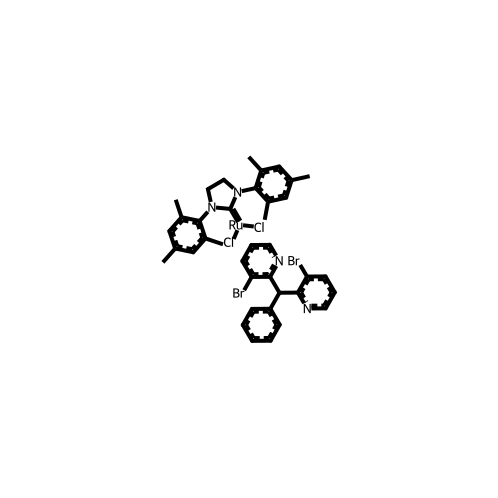 Brc1cccnc1C(c1ccccc1)c1ncccc1Br.Cc1cc(C)c(N2CCN(c3c(C)cc(C)cc3C)[C]2=[Ru]([Cl])[Cl])c(C)c1